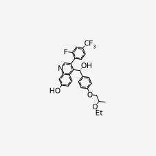 CCOC(C)COc1ccc([C@@H](O)c2c(-c3ccc(C(F)(F)F)cc3F)cnc3cc(O)ccc23)cc1